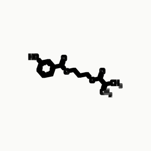 C=C(C)C(=O)OCCCOC(=O)c1cccc(O)c1